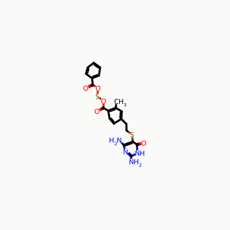 Cc1cc(CCSc2c(N)nc(N)[nH]c2=O)ccc1C(=O)OSOC(=O)c1ccccc1